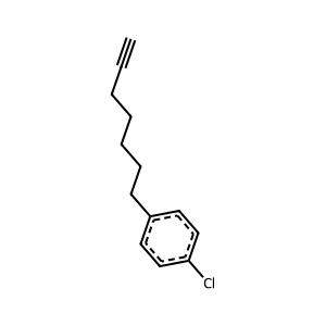 C#CCCCCCc1ccc(Cl)cc1